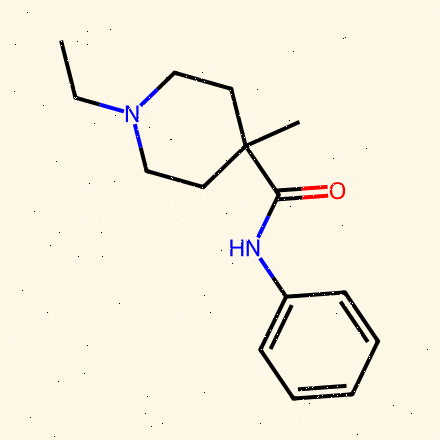 CCN1CCC(C)(C(=O)Nc2ccccc2)CC1